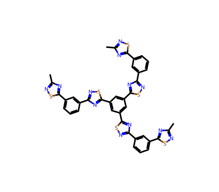 Cc1nsc(-c2cccc(-c3nsc(-c4cc(-c5nc(-c6cccc(-c7nc(C)ns7)c6)ns5)cc(-c5nc(-c6cccc(-c7nc(C)ns7)c6)ns5)c4)n3)c2)n1